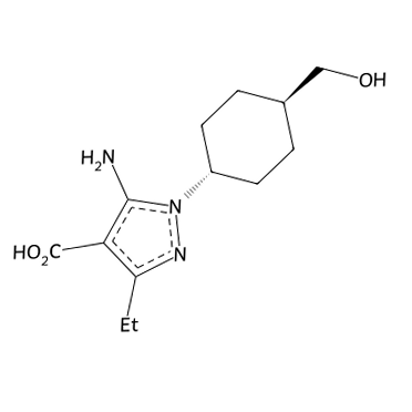 CCc1nn([C@H]2CC[C@H](CO)CC2)c(N)c1C(=O)O